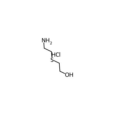 Cl.NCCSCCO